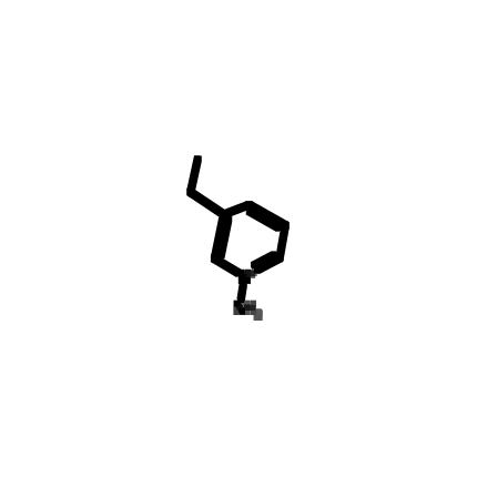 CCc1ccc[n+](N)c1